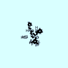 Cl.Cl.O=C(CN1CCN(C(=O)c2cc(C(F)(F)F)cc(C(F)(F)F)c2)[C@H](Cc2c[nH]c3ccccc23)C1)NCCN1CCCC1